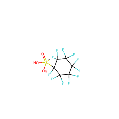 CS(=O)(O)(O)C1(F)C(F)(F)C(F)(F)C(F)(F)C(F)(F)C1(F)F